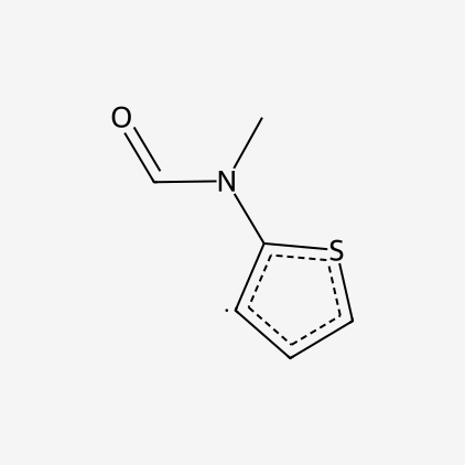 CN(C=O)c1[c]ccs1